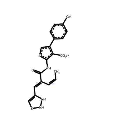 C/C=C\C(=C/C1=CSNN1)C(=O)Nc1scc(-c2ccc(C#N)cc2)c1C(=O)O